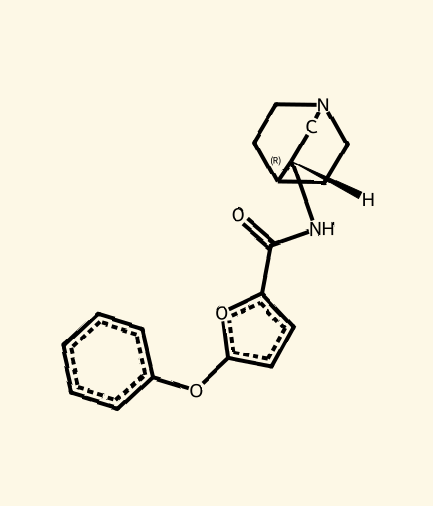 O=C(N[C@H]1CN2CCC1CC2)c1ccc(Oc2ccccc2)o1